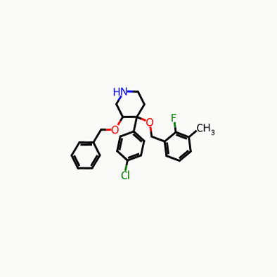 Cc1cccc(COC2(c3ccc(Cl)cc3)CCNCC2OCc2ccccc2)c1F